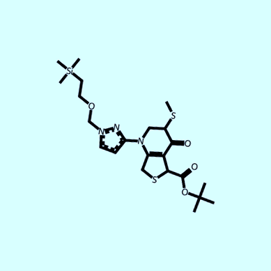 CSC1CN(c2ccn(COCC[Si](C)(C)C)n2)C2=C(C1=O)C(C(=O)OC(C)(C)C)SC2